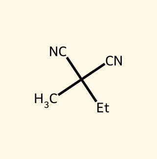 CCC(C)(C#N)C#N